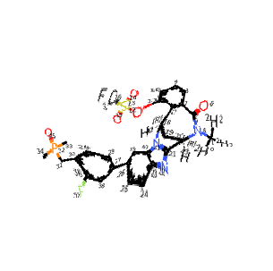 [2H]C([2H])([2H])N1C(=O)c2cccc(OS(=O)(=O)C(F)(F)F)c2[C@H]2C[C@@H]1c1nc3ccc(-c4ccc(CP(C)(C)=O)c(F)c4)cc3n12